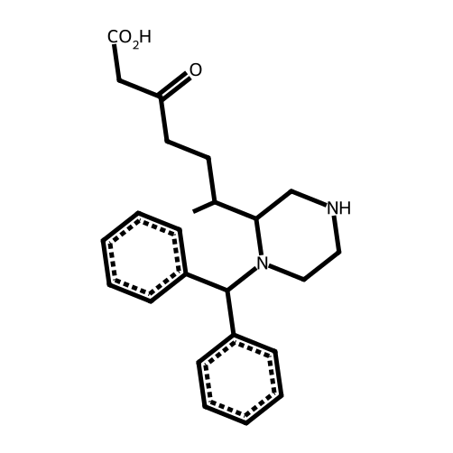 CC(CCC(=O)CC(=O)O)C1CNCCN1C(c1ccccc1)c1ccccc1